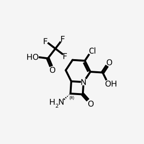 N[C@H]1C(=O)N2C(C(=O)O)=C(Cl)CCC12.O=C(O)C(F)(F)F